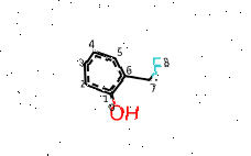 Oc1ccccc1[CH]F